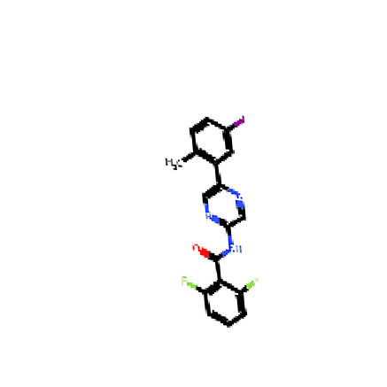 Cc1ccc(I)cc1-c1cnc(NC(=O)c2c(F)cccc2F)cn1